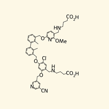 COc1nc(OCc2cccc(-c3cccc(COc4cc(OCc5cncc(C#N)c5)c(CNCCCC(=O)O)cc4Cl)c3C)c2C)ccc1CNCCCC(=O)O